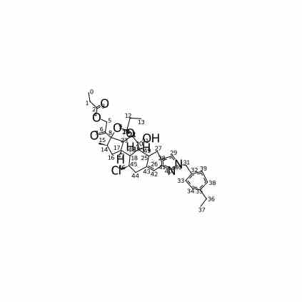 CCC(=O)OCC(=O)C1(OC(=O)CC)[C@H](C)C[C@H]2[C@H]3[C@H]([C@@H](O)C[C@@]21C)[C@@]1(C)Cc2cn(Cc4ccc(CC)cc4)nc2C=C1C[C@H]3Cl